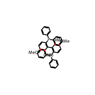 COc1ccc(P(c2ccccc2)c2ccccc2)c(-c2c(P(c3ccccc3)c3ccccc3)ccc(OC)c2OC)c1OC